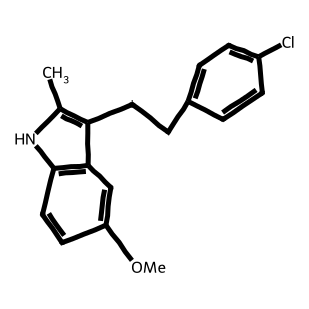 COc1ccc2[nH]c(C)c([CH]Cc3ccc(Cl)cc3)c2c1